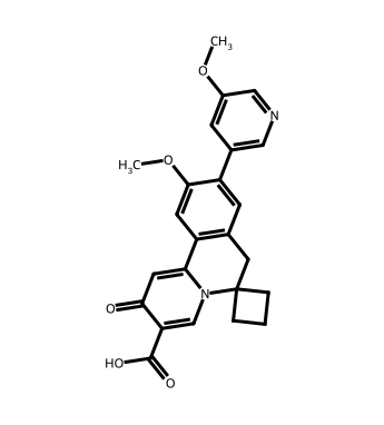 COc1cncc(-c2cc3c(cc2OC)-c2cc(=O)c(C(=O)O)cn2C2(CCC2)C3)c1